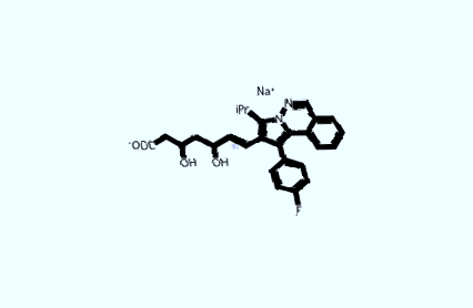 CC(C)c1c(/C=C/C(O)CC(O)CC(=O)[O-])c(-c2ccc(F)cc2)c2c3ccccc3cnn12.[Na+]